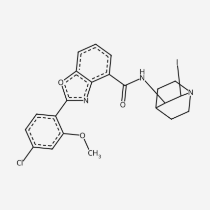 COc1cc(Cl)ccc1-c1nc2c(C(=O)NC3C4CCN(CC4)C3I)cccc2o1